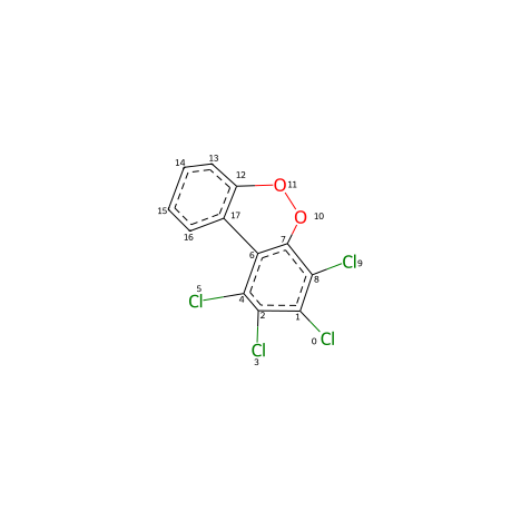 Clc1c(Cl)c(Cl)c2c(c1Cl)OOc1ccccc1-2